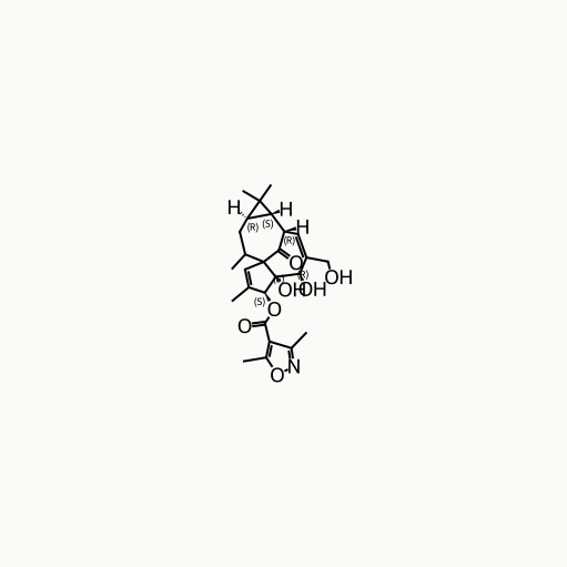 CC1=CC23C(=O)[C@@H](C=C(CO)[C@@H](O)[C@]2(O)[C@H]1OC(=O)c1c(C)noc1C)[C@@H]1[C@@H](CC3C)C1(C)C